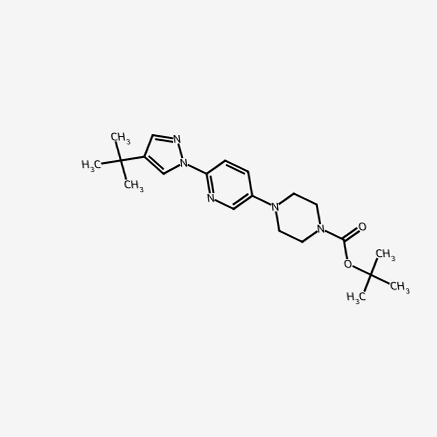 CC(C)(C)OC(=O)N1CCN(c2ccc(-n3cc(C(C)(C)C)cn3)nc2)CC1